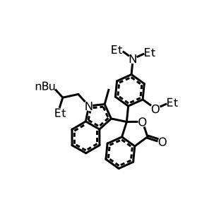 CCCCC(CC)Cn1c(C)c(C2(c3ccc(N(CC)CC)cc3OCC)OC(=O)c3ccccc32)c2ccccc21